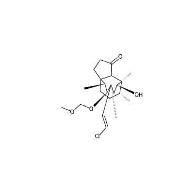 COCO[C@H]1[C@H](C)C23CCC(=O)C2[C@@](C)([C@H](C)CC3)[C@H](O)C[C@@]1(C)C=CCl